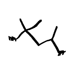 [CH2]C(C)C(C)CC(C)(C)CCC